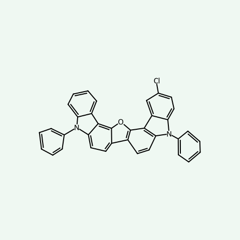 Clc1ccc2c(c1)c1c3oc4c(ccc5c4c4ccccc4n5-c4ccccc4)c3ccc1n2-c1ccccc1